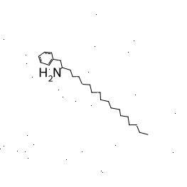 CCCCCCCCCCCCCCCCCC(N)Cc1ccccc1